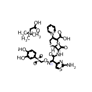 C[N+](C)(C)CC(=O)O.Nc1nc(/C(=N/OCS(=O)(=O)c2ccc(O)c(O)c2)C(=O)N[C@@H]2C(=O)N3C(C(=O)O)=C([n+]4ccccc4)CS[C@H]23)cs1